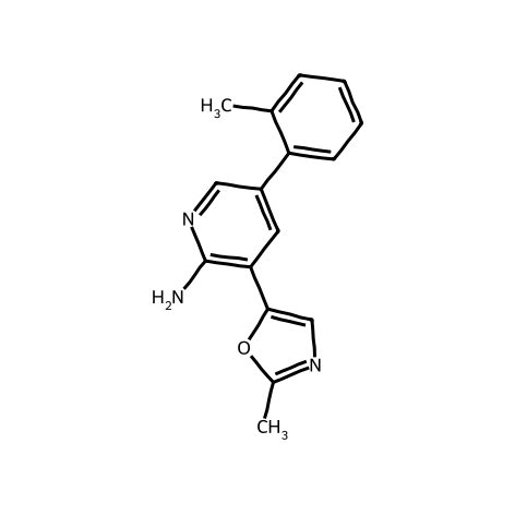 Cc1ncc(-c2cc(-c3ccccc3C)cnc2N)o1